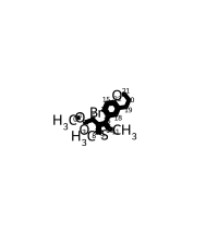 COC(=O)C(Br)c1c(C)sc(C)c1-c1ccc2c(c1)CCCO2